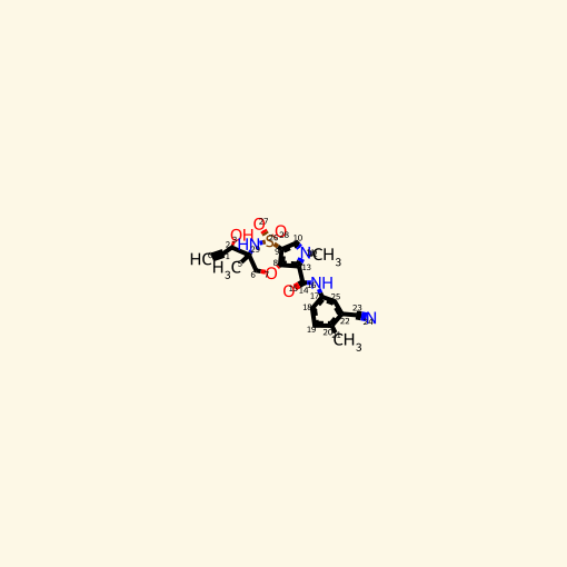 C#C[C@@H](O)C1(C)COc2c(cn(C)c2C(=O)Nc2ccc(C)c(C#N)c2)S(=O)(=O)N1